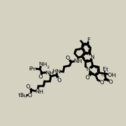 CC[C@@]1(O)C(=O)OCc2c1cc1n(c2=O)Cc2c-1nc1cc(F)c(C)c3c1c2[C@@H](NC(=O)CCCNC(=O)C(CCCCNC(=O)OC(C)(C)C)NC(=O)C(N)C(C)C)CC3